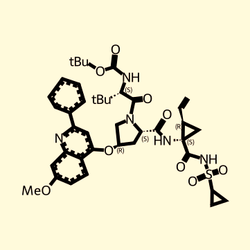 C=C[C@H]1C[C@@]1(NC(=O)[C@@H]1C[C@@H](Oc2cc(-c3ccccc3)nc3cc(OC)ccc23)CN1C(=O)[C@@H](NC(=O)OC(C)(C)C)C(C)(C)C)C(=O)NS(=O)(=O)C1CC1